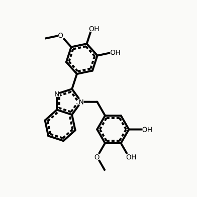 COc1cc(Cn2c(-c3cc(O)c(O)c(OC)c3)nc3ccccc32)cc(O)c1O